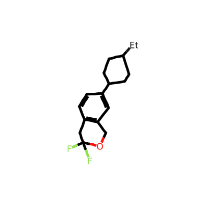 CCC1CCC(c2ccc3c(c2)COC(F)(F)C3)CC1